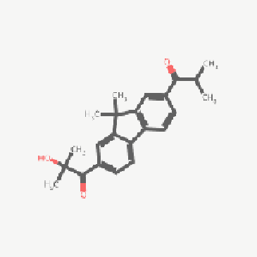 CC(C)C(=O)c1ccc2c(c1)C(C)(C)c1cc(C(=O)C(C)(C)O)ccc1-2